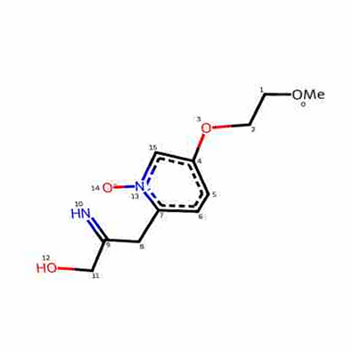 COCCOc1ccc(CC(=N)CO)[n+]([O-])c1